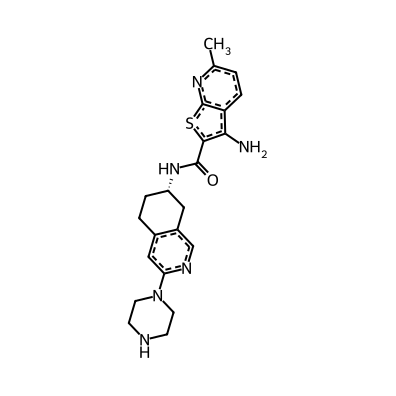 Cc1ccc2c(N)c(C(=O)N[C@H]3CCc4cc(N5CCNCC5)ncc4C3)sc2n1